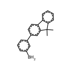 Bc1cccc(-c2ccc3c(c2)C(C)(C)c2ccccc2-3)c1